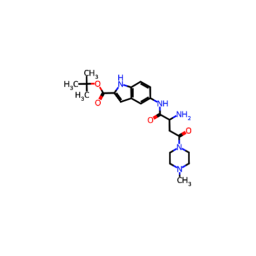 CN1CCN(C(=O)CC(N)C(=O)Nc2ccc3[nH]c(C(=O)OC(C)(C)C)cc3c2)CC1